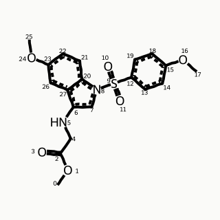 COC(=O)CNc1cn(S(=O)(=O)c2ccc(OC)cc2)c2ccc(OC)cc12